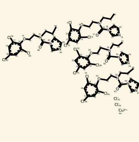 CCCN(CCOc1c(Cl)cc(Cl)cc1Cl)C(=O)n1ccnc1.CCCN(CCOc1c(Cl)cc(Cl)cc1Cl)C(=O)n1ccnc1.CCCN(CCOc1c(Cl)cc(Cl)cc1Cl)C(=O)n1ccnc1.CCCN(CCOc1c(Cl)cc(Cl)cc1Cl)C(=O)n1ccnc1.[Cl-].[Cl-].[Cu+2]